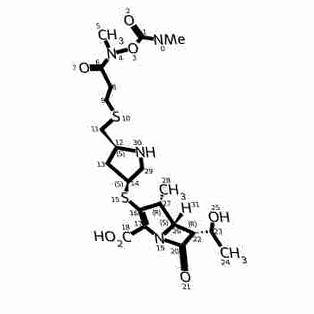 CNC(=O)ON(C)C(=O)CCSC[C@@H]1C[C@H](SC2=C(C(=O)O)N3C(=O)[C@@H](C(C)O)[C@H]3[C@H]2C)CN1